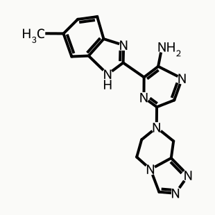 Cc1ccc2nc(-c3nc(N4CCn5cnnc5C4)cnc3N)[nH]c2c1